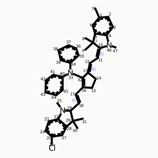 Cc1ccc2c(c1)C(C)(C)/C(=C\C=C1/CCC(/C=C/C3N(C)c4ccc(Cl)cc4C3(C)C)=C1N(c1ccccc1)c1ccccc1)N2C